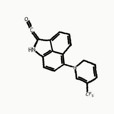 O=C=c1[nH]c2ccc(N3C=C(C(F)(F)F)C=CC3)c3cccc1c23